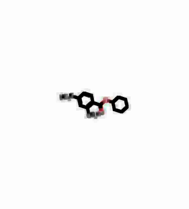 O=C(O)c1ccc(C(=O)OC2CCCCC2)c(C(=O)O)c1